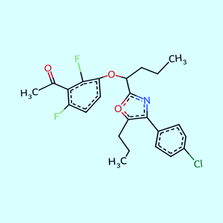 CCCc1oc(C(CCC)Oc2ccc(F)c(C(C)=O)c2F)nc1-c1ccc(Cl)cc1